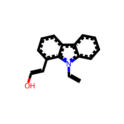 C=Cn1c2ccccc2c2cccc(C=CO)c21